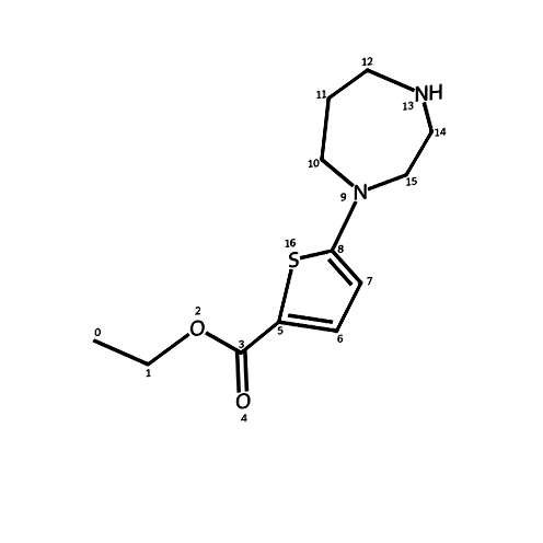 CCOC(=O)c1ccc(N2CCCNCC2)s1